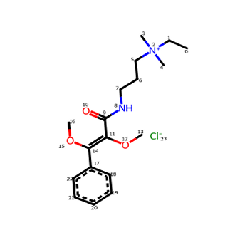 CC[N+](C)(C)CCCNC(=O)C(OC)=C(OC)c1ccccc1.[Cl-]